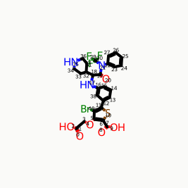 O=C(O)COc1c(C(=O)O)sc(-c2cccc(NC(C(=O)N(c3ccccc3)C(F)(F)F)C3CCNCC3)c2)c1Br